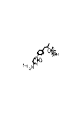 CC(Cc1ccc(-n2ccc(N)nc2=O)cc1)O[Si](C)(C)C(C)(C)C